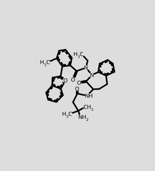 CCN(C(=O)c1cccc(C)c1-c1cc2ccccc2o1)N1C(=O)C(NC(=O)CC(C)(C)N)CCc2ccccc21